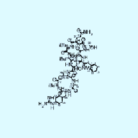 CC[C@H](C)[C@H](NC(=O)[C@@H](Cc1ccccc1)NC)C(=O)N[C@@H](CO)C(=O)N[C@H](CCC(N)=O)C(=O)N[C@@H](C(=O)N[C@H](C(=O)N[C@@H](CO)C(=O)N[C@H]1C(=O)N[C@@H](C)C(=O)N[C@@H](Cc2ccc(NC(=N)N)cc2)C(=O)N[C@@H]([C@@H](C)CC)C(=O)O[C@H]1C)[C@@H](C)CC)[C@@H](C)CC